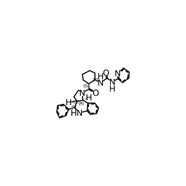 O=C(Nc1ccccn1)N[C@@H]1CCCC[C@@H]1C(=O)N1CC[C@H]2[C@H](c3ccccc3)Nc3ccccc3[C@@H]21